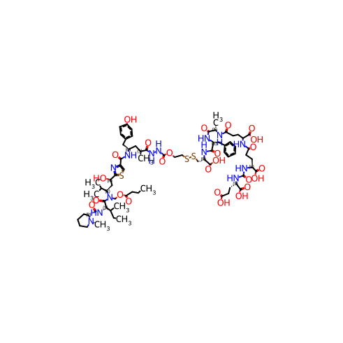 CCCC(=O)OCN(C(=O)[C@@H](NC(=O)[C@H]1CCCCN1C)C(C)CC)[C@H](C[C@@H](O)c1nc(C(=O)N[C@@H](Cc2ccc(O)cc2)C[C@H](C)C(=O)NNC(=O)OCCSSC[C@H](NC(=O)[C@H](Cc2ccccc2)NC(=O)[C@H](C)NC(=O)CCC(NC(=O)CC[C@H](NC(=O)N[C@@H](CCC(=O)O)C(=O)O)C(=O)O)C(=O)O)C(=O)O)cs1)C(C)C